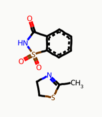 CC1=NCCS1.O=C1NS(=O)(=O)c2ccccc21